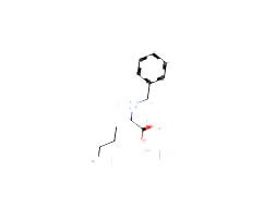 CCCC[C@H](NCc1ccccc1)C(=O)OC